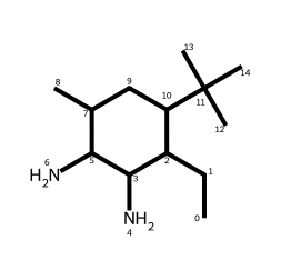 CCC1C(N)C(N)C(C)CC1C(C)(C)C